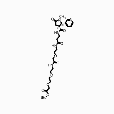 CN1C(=O)C[C@H](C(=O)NCCC(=O)NCCOCC(=O)NCCOCCOCC(=O)OC(C)(C)C)[C@H]1c1cccnc1